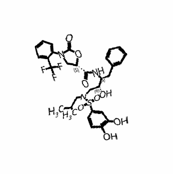 CC(C)CN(C[C@@H](O)[C@H](Cc1ccccc1)NC(=O)[C@@H]1CN(c2ccccc2C(F)(F)F)C(=O)O1)S(=O)(=O)c1ccc(O)c(O)c1